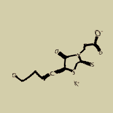 O=C([O-])CN1C(=O)C(=C=CCCCl)SC1=S.[K+]